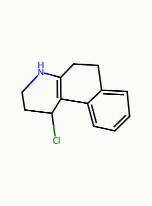 ClC1CCNC2=C1c1ccccc1CC2